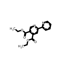 CCOC(=O)c1cnc(-c2ccccn2)cc1C(=O)OCC